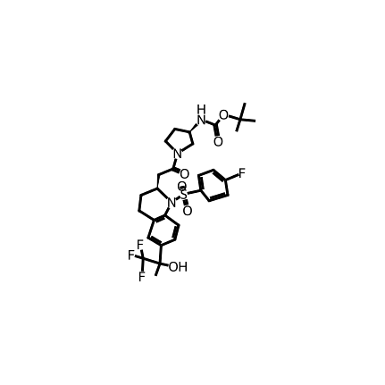 CC(C)(C)OC(=O)N[C@@H]1CCN(C(=O)C[C@@H]2CCc3cc(C(C)(O)C(F)(F)F)ccc3N2S(=O)(=O)c2ccc(F)cc2)C1